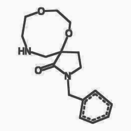 O=C1N(Cc2ccccc2)CCC12CNCCOCCO2